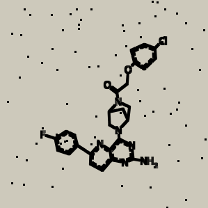 Nc1nc(N2CC3CC2CN3C(=O)COc2ccc(Cl)cc2)c2nc(-c3ccc(F)cc3)ccc2n1